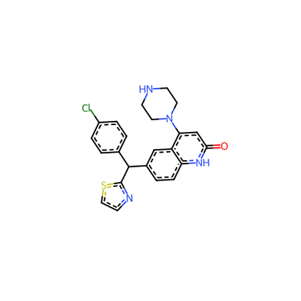 O=c1cc(N2CCNCC2)c2cc(C(c3ccc(Cl)cc3)c3nccs3)ccc2[nH]1